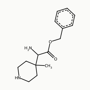 CC1(C(N)C(=O)OCc2ccccc2)CCNCC1